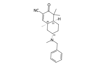 CN(Cc1ccccc1)[C@H]1CC[C@@H]2C(C)(C)C(=O)C(C#N)=C[C@]2(C)C1